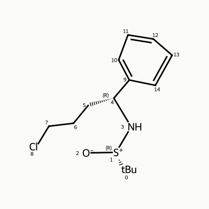 CC(C)(C)[S@+]([O-])N[C@H](CCCCl)c1ccccc1